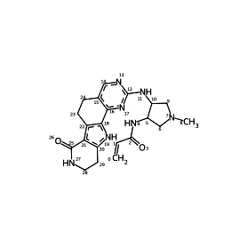 C=CC(=O)NC1CN(C)CC1Nc1ncc2c(n1)-c1[nH]c3c(c1CC2)C(=O)NCC3